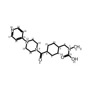 CN(CC1CCC(C(=O)N2CCN(c3ccncc3)CC2)CC1)C(=O)O